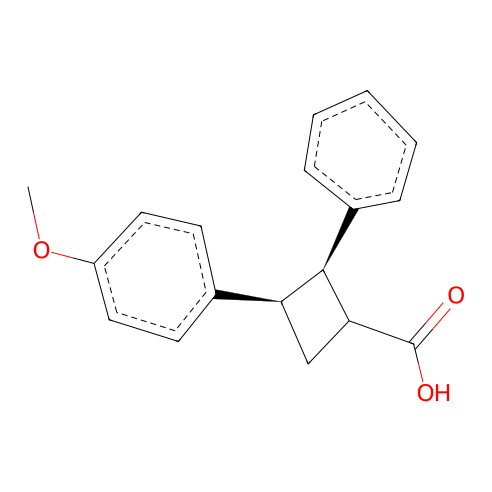 COc1ccc([C@@H]2CC(C(=O)O)[C@@H]2c2ccccc2)cc1